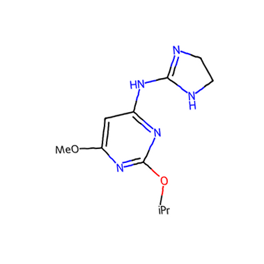 COc1cc(NC2=NCCN2)nc(OC(C)C)n1